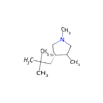 CC1CN(C)C[C@H]1CC(C)(C)C